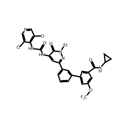 CCn1nc(-c2cccc(-c3cc(OC(F)(F)F)cc(C(=O)NC4CC4)c3)c2)cc(NC(=O)Nc2c(Cl)cncc2Cl)c1=O